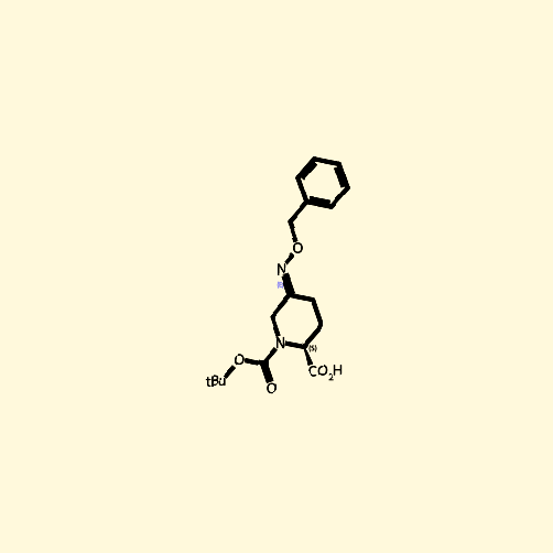 CC(C)(C)OC(=O)N1C/C(=N/OCc2ccccc2)CC[C@H]1C(=O)O